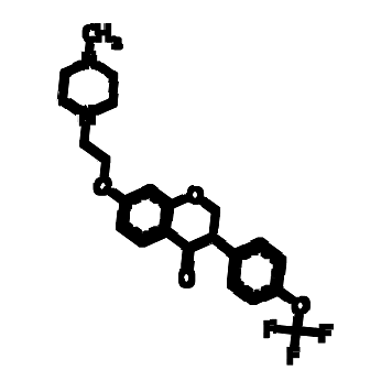 CN1CCN(CCOc2ccc3c(c2)OCC(c2ccc(OC(F)(F)F)cc2)C3=O)CC1